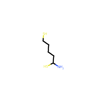 NC(S)CCCCS